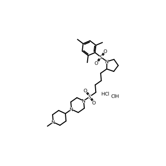 Cc1cc(C)c(S(=O)(=O)N2CCCC2CCCCS(=O)(=O)N2CCN(C3CCN(C)CC3)CC2)c(C)c1.Cl.Cl